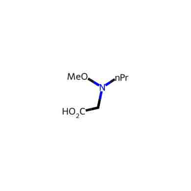 CCCN(CC(=O)O)OC